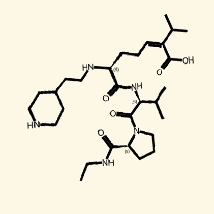 CCNC(=O)[C@@H]1CCCN1C(=O)[C@@H](NC(=O)[C@H](CCC=C(C(=O)O)C(C)C)NCCC1CCNCC1)C(C)C